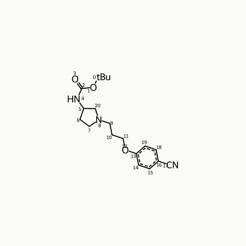 CC(C)(C)OC(=O)NC1CCN(CCCOc2ccc(C#N)cc2)C1